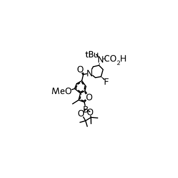 COc1cc(C(=O)N2C[C@H](F)C[C@@H](N(C(=O)O)C(C)(C)C)C2)cc2oc(B3OC(C)(C)C(C)(C)O3)c(C)c12